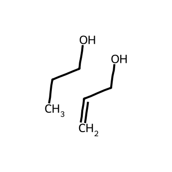 C=CCO.CCCO